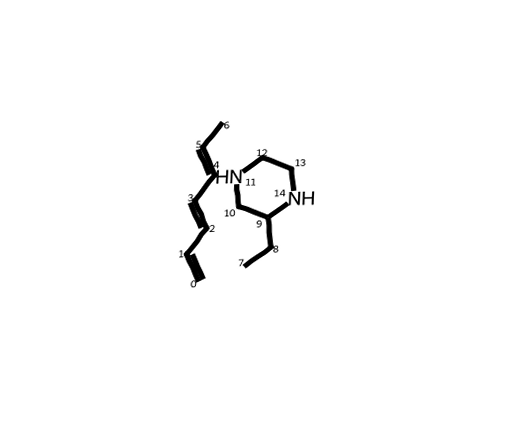 C=CC=CC=CC.CCC1CNCCN1